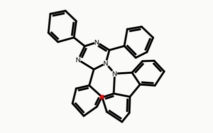 c1ccc(C2=NC(c3ccccc3)N(n3c4ccccc4c4ccccc43)C(c3ccccc3)=N2)cc1